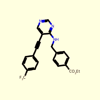 CCOC(=O)c1ccc(CNc2ncncc2C#Cc2ccc(C(F)(F)F)cc2)cc1